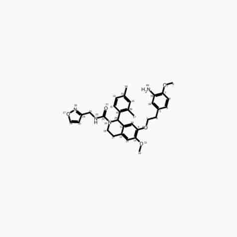 COc1ccc(CCOc2cc3c(cc2OC)CCN(C(=O)NCc2ccon2)C3c2ccc(C)cc2C)cc1N